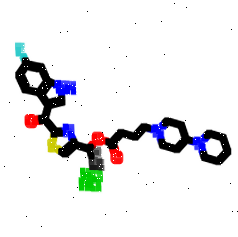 CC[C@H](OC(=O)CCCN1CCC(N2CCCCC2)CC1)c1csc(C(=O)c2c[nH]c3cc(F)ccc23)n1.Cl.Cl